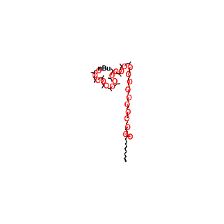 C=CCCCCCCCCC(=O)OCCOCCOCCOCCOCCOCCOCCOCCOCCOC(C)COC(C)COC(C)COC(C)COC(C)COC(C)COC(C)COC(C)COC(C)COC(C)COC(C)COCCCC